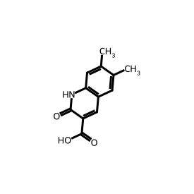 Cc1cc2cc(C(=O)O)c(=O)[nH]c2cc1C